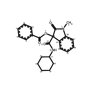 CN1C(=O)C(OC(=O)c2ccccc2)(C(=O)NC2CCCCC2)c2ccccc21